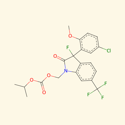 COc1ccc(Cl)cc1C1(F)C(=O)N(COC(=O)OC(C)C)c2cc(C(F)(F)F)ccc21